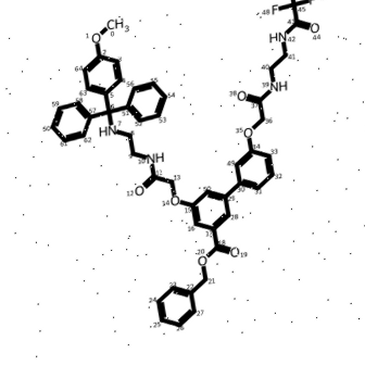 COc1ccc(C(NCCNC(=O)COc2cc(C(=O)OCc3ccccc3)cc(-c3cccc(OCC(=O)NCCNC(=O)C(F)(F)F)c3)c2)(c2ccccc2)c2ccccc2)cc1